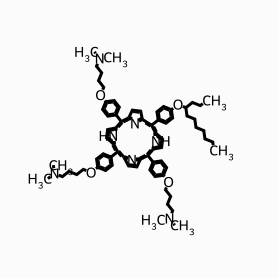 CCCCCCCC(CCC)Oc1ccc(-c2c3nc(c(-c4ccc(OCCCCN(C)C)cc4)c4ccc([nH]4)c(-c4ccc(OCCCCN(C)C)cc4)c4nc(c(-c5ccc(OCCCCN(C)C)cc5)c5ccc2[nH]5)C=C4)C=C3)cc1